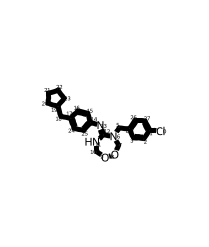 Clc1ccc(CN2COOCN/C2=N\c2ccc(CC3CCCC3)cc2)cc1